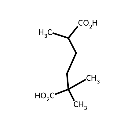 CC(CCC(C)(C)C(=O)O)C(=O)O